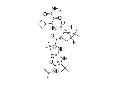 C=C(C)NC(=O)[C@@H](NC(=O)N[C@H](C(=O)N1C[C@H]2[C@@H]([C@H]1C(=O)NC(C(=O)C(N)=O)C1CCC1)C2(C)C)C(C)(C)C)C(C)(C)C